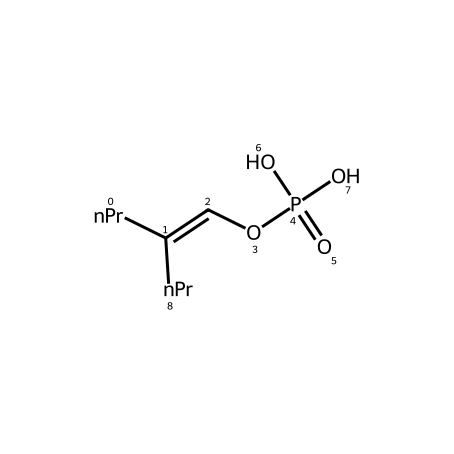 CCCC(=COP(=O)(O)O)CCC